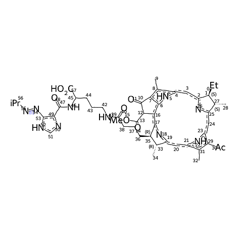 CC[C@@H]1c2cc3[nH]c4c(c3C)C(=O)C(C(=O)OC)c4c3nc(cc4[nH]c(cc(n2)[C@H]1C)c(C(C)=O)c4C)[C@H](C)[C@H]3CCCC(=O)NCCCC(NC(=O)c1nc[nH]c1/N=N/C(C)C)C(=O)O